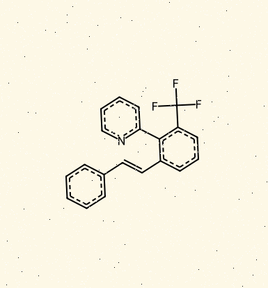 FC(F)(F)c1cccc(/C=C/c2ccccc2)c1-c1ccccn1